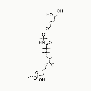 CCOP(=O)(O)OCCOC(=O)C(C)CC(C)(C)C(C)(C)C(=O)NC(C)(C)OCOCOCC(O)CO